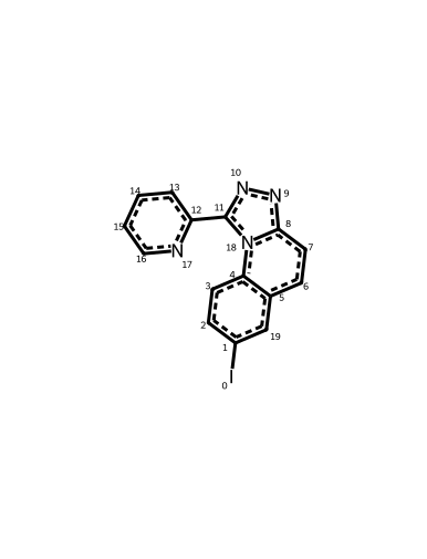 Ic1ccc2c(ccc3nnc(-c4ccccn4)n32)c1